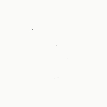 Nc1ccc(Oc2c(Cl)cc(C(F)(F)F)cc2Cl)cc1